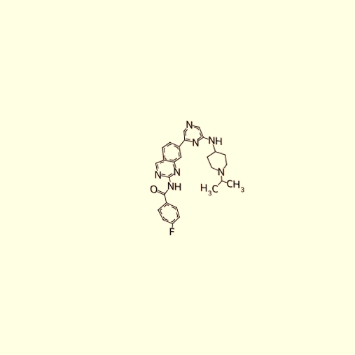 CC(C)N1CCC(Nc2cncc(-c3ccc4cnc(NC(=O)c5ccc(F)cc5)nc4c3)n2)CC1